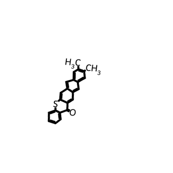 Cc1cc2cc3cc4sc5ccccc5c(=O)c4cc3cc2cc1C